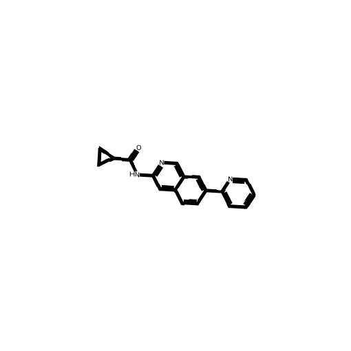 O=C(Nc1cc2ccc(-c3ccccn3)cc2cn1)C1CC1